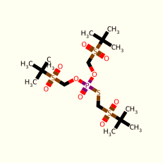 CC(C)(C)S(=O)(=O)COP(=O)(OCS(=O)(=O)C(C)(C)C)SCS(=O)(=O)C(C)(C)C